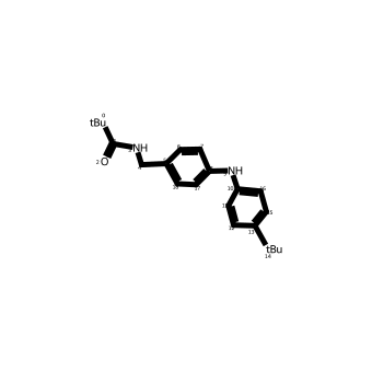 CC(C)(C)C(=O)NCc1ccc(Nc2ccc(C(C)(C)C)cc2)cc1